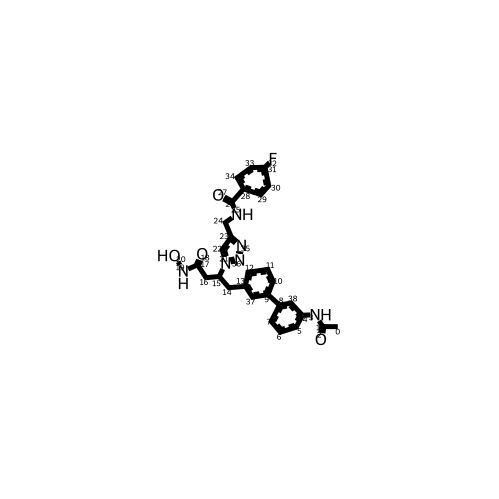 CC(=O)Nc1cccc(-c2cccc(CC(CC(=O)NO)n3cc(CNC(=O)c4ccc(F)cc4)nn3)c2)c1